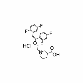 Cl.O=C(O)C1CCCN(CCOC(=Cc2cc(F)ccc2F)c2ccc(F)cc2F)C1